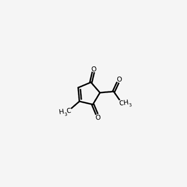 CC(=O)C1C(=O)C=C(C)C1=O